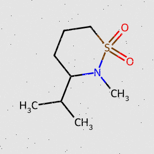 CC(C)C1CCCS(=O)(=O)N1C